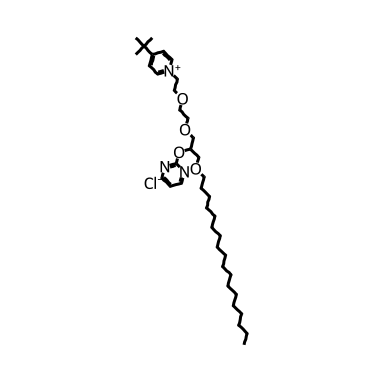 CCCCCCCCCCCCCCCCCCOCC(COCCOCC[n+]1ccc(C(C)(C)C)cc1)Oc1ncccn1.[Cl-]